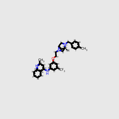 Cc1ccc(CN2CC3C[C@H]2CN3CCOc2cc(Nc3cc(C)nc4ccccc34)cc(C(F)(F)F)c2)cc1